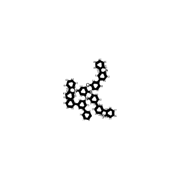 c1ccc(-c2cc(-c3ccccc3)cc(N3c4cc(-c5ccc6sc7ccccc7c6c5)ccc4B4c5ccc(-c6ccc7sc8ccccc8c7c6)cc5Oc5cc(-n6c7ccccc7c7ccccc76)cc3c54)c2)cc1